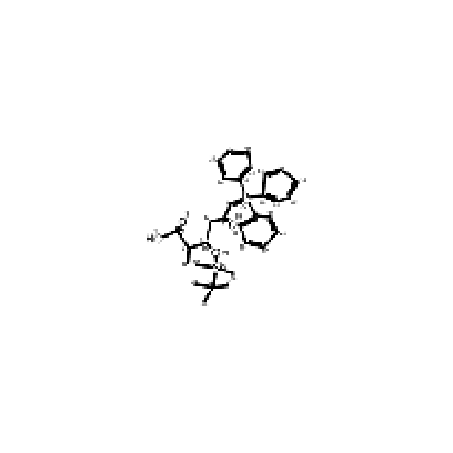 CC(C(=O)O)[C@@H](CC(=O)C=P(c1ccccc1)(c1ccccc1)c1ccccc1)O[Si](C)(C)C(C)(C)C